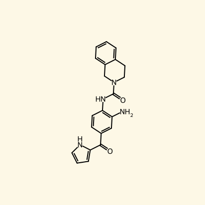 Nc1cc(C(=O)c2ccc[nH]2)ccc1NC(=O)N1CCc2ccccc2C1